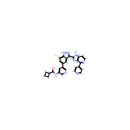 O=C(Nc1cncc(-c2cc(F)c3[nH]nc(-c4nc5c(-c6ccncc6)nccc5[nH]4)c3c2)c1)C1CCC1